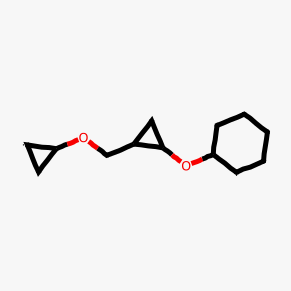 [CH]1CC1OCC1CC1OC1[CH]CCCC1